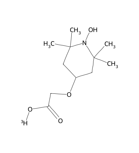 [3H]OC(=O)COC1CC(C)(C)N(O)C(C)(C)C1